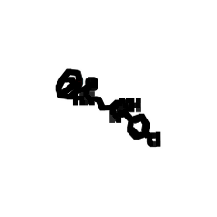 O=C(NCCc1c[nH]c(-c2ccc(Cl)cc2)n1)C12CC3CC(CC(C3)C1)C2